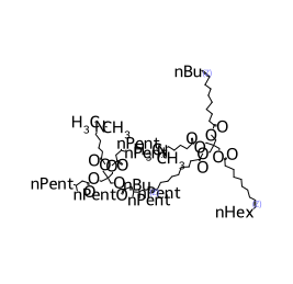 CCCC/C=C\CCCCCCCC(=O)OCC(COC(=O)CCCCCCC/C=C\CCCC)(COC(=O)CCCCCCC/C=C\CCCCCC)COC(=O)CCCCN(C)C.CCCCCC(CCCCC)CC(=O)OCC(COC(=O)CCCCN(C)C)(COC(=O)CC(CCCCC)CCCCC)COC(=O)CC(CCCCC)CCCCC